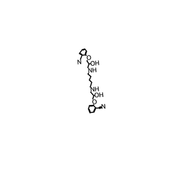 N#Cc1ccccc1OCC(O)CNCCCCCNCC(O)COc1ccccc1C#N